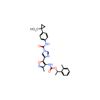 Cc1ccccc1C(C)OC(=O)Nc1c(C)noc1-c1cn(C(=O)Nc2ccc(C3(C(=O)O)CC3)cc2)cn1